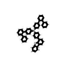 c1ccc(-c2ccccc2-c2ccc(N(c3ccc(-c4ccccc4-c4ccccc4)cc3)c3ccc(-c4cccc5c4oc4ccccc45)cc3)cc2)cc1